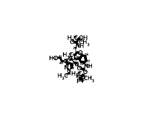 CCn1cc(S(=O)(=O)N2c3cc(NC(=O)OC(C)(C)C(F)(F)F)ccc3O[C@@H](CNC(=O)C(C)(C)O)[C@H]2C)c(OCCO)n1